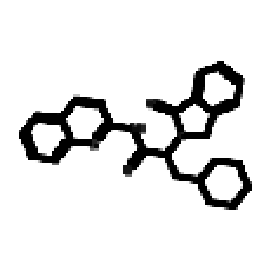 O=C(Nc1ccc2ccccc2n1)[C@H](CC1CCCCC1)N1Cc2ccccc2C1=O